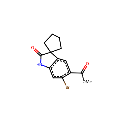 COC(=O)c1cc2c(cc1Br)NC(=O)C21CCCC1